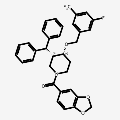 O=C(c1ccc2c(c1)OCO2)N1CC[C@@H](OCc2cc(F)cc(C(F)(F)F)c2)[C@@H](C(c2ccccc2)c2ccccc2)C1